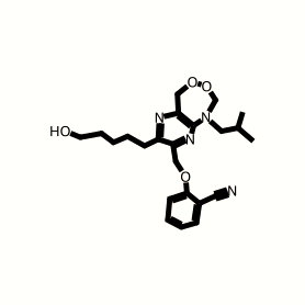 CC(C)CN1COOCc2nc(CCCCCO)c(COc3ccccc3C#N)nc21